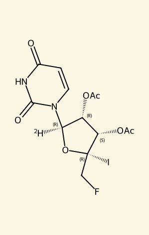 [2H][C@@]1(n2ccc(=O)[nH]c2=O)O[C@](I)(CF)[C@@H](OC(C)=O)[C@H]1OC(C)=O